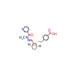 CN(N=C[C@H]1[C@H](CCc2ccc(C(=O)O)cc2)[C@H]2CC[C@@H]1O2)C(=O)c1cccnc1